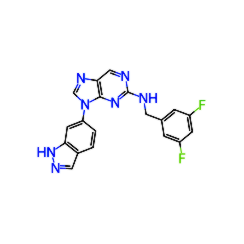 Fc1cc(F)cc(CNc2ncc3ncn(-c4ccc5cn[nH]c5c4)c3n2)c1